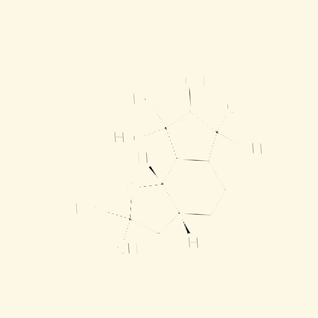 CC1C(C)(C)C2CC[C@@H]3CC(C)(C)O[C@@H]3C2C1(C)C